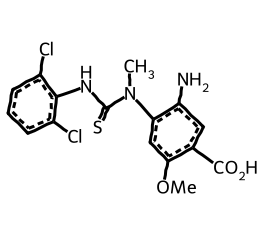 COc1cc(N(C)C(=S)Nc2c(Cl)cccc2Cl)c(N)cc1C(=O)O